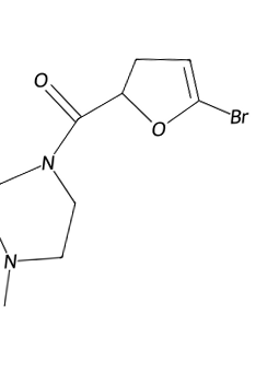 CN1CCN(C(=O)C2CC=C(Br)O2)CC1